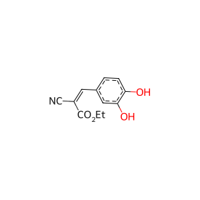 CCOC(=O)/C(C#N)=C\c1ccc(O)c(O)c1